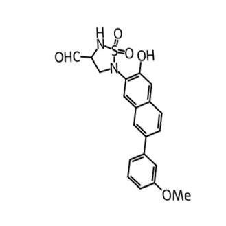 COc1cccc(-c2ccc3cc(O)c(N4CC(C=O)NS4(=O)=O)cc3c2)c1